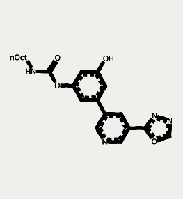 CCCCCCCCNC(=O)Oc1cc(O)cc(-c2cncc(-c3nnco3)c2)c1